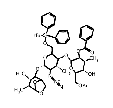 CC(=O)OCC1O[C@@H](O[C@@H]2C(CO[Si](c3ccccc3)(c3ccccc3)C(C)(C)C)O[C@@H](OC3C4COC(O4)[C@@H](C)[C@H]3C)C(N=[N+]=[N-])[C@H]2C)C(OC(=O)c2ccccc2)[C@@H](C)[C@@H]1O